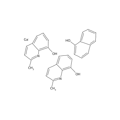 Cc1ccc2cccc(O)c2n1.Cc1ccc2cccc(O)c2n1.Oc1cccc2ccccc12.[Ga]